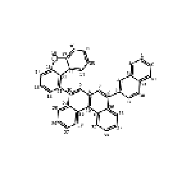 c1ccc2cc(-c3cc4cc(-c5cccc6oc7ccccc7c56)c5ccccc5c4c4ccccc34)ccc2c1